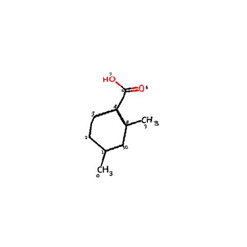 CC1CCC(C(=O)O)C(C)C1